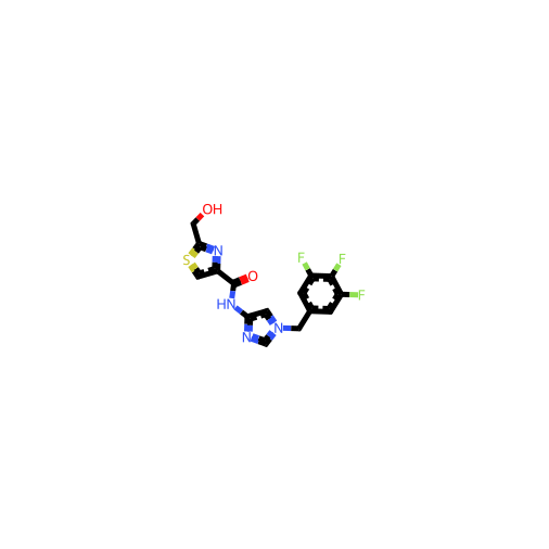 O=C(Nc1cn(Cc2cc(F)c(F)c(F)c2)cn1)c1csc(CO)n1